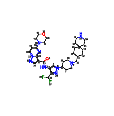 O=C(Nc1cn(C2CCN(CC3CCC4(CCNCC4)CC3)CC2)nc1C(F)F)c1cnn2ccc(N3CCOCC3)nc12